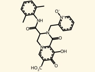 Cc1cccc(C)c1NC(=O)C1Cn2cc(C(=O)O)c(=O)c(O)c2C(=O)N1Cc1cccc[n+]1[O-]